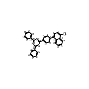 Clc1ccc(-c2ccc(-c3nc(-c4ccccc4)nc(-c4ccccc4)n3)cc2)c2ccccc12